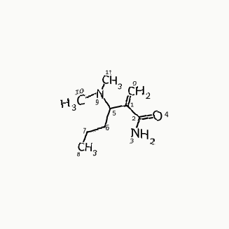 C=C(C(N)=O)C(CCC)N(C)C